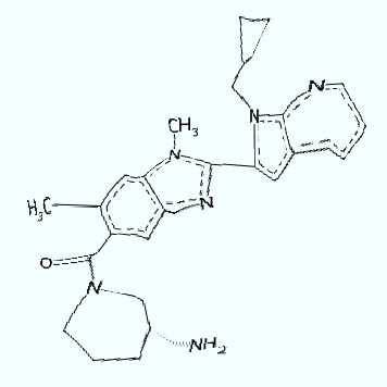 Cc1cc2c(cc1C(=O)N1CCC[C@@H](N)C1)nc(-c1cc3cccnc3n1CC1CC1)n2C